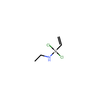 C=C[Si](Cl)(Cl)NCC